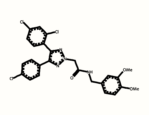 COc1ccc(CNC(=O)Cn2nc(-c3ccc(Cl)cc3)c(-c3ccc(Cl)cc3Cl)n2)cc1OC